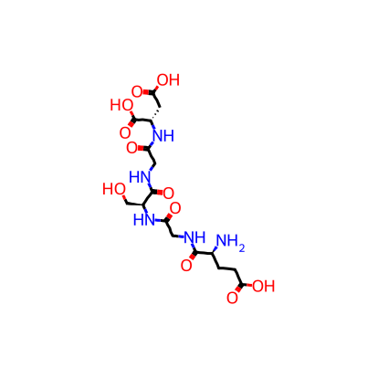 N[C@@H](CCC(=O)O)C(=O)NCC(=O)N[C@@H](CO)C(=O)NCC(=O)N[C@@H](CC(=O)O)C(=O)O